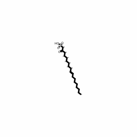 CCCCCCCCC=CCCCCCCCC(=O)CS(=O)(=O)O